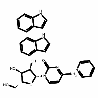 Nc1ccn([C@@H]2O[C@H](CO)[C@@H](O)[C@H]2O)c(=O)n1.c1ccc2[nH]ccc2c1.c1ccc2[nH]ccc2c1.c1ccncc1